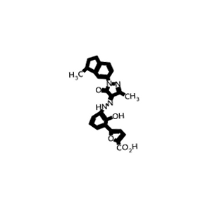 CC1=NN(c2ccc3c(c2)C(C)CC3)C(=O)C1=NNc1cccc(-c2ccc(C(=O)O)o2)c1O